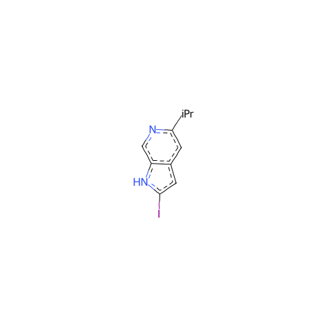 CC(C)c1cc2cc(I)[nH]c2cn1